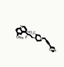 COc1ccc2nccc([C@@H](F)CC[C@@H]3CCN(CC#Cc4cnco4)C[C@@H]3C(=O)O)c2c1